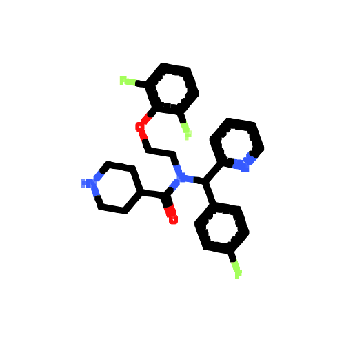 O=C(C1CCNCC1)N(CCOc1c(F)cccc1F)C(c1ccc(F)cc1)c1ccccn1